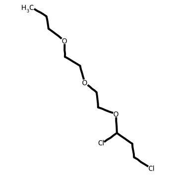 CCCOCCOCCOC(Cl)CCCl